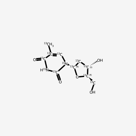 [13CH3][13c]1[13cH][15n]([13C@H]2[13CH2][13C@H](O)[13C@@H]([13CH2]O)O2)[13c](=O)[15nH][13c]1=O